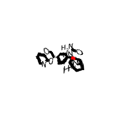 NC(=O)N[C@@H]1CC2CC[C@@H](C1)N2Cc1ccc([C@H]2COc3cccnc3O2)cc1